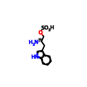 N[C@H](COS(=O)(=O)O)Cc1c[nH]c2ccccc12